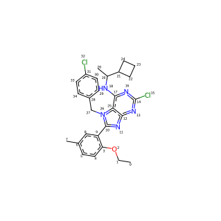 CCOc1ccc(C)cc1-c1nc2nc(Cl)nc(NC(C)C3CCC3)c2n1Cc1ccc(Cl)cc1